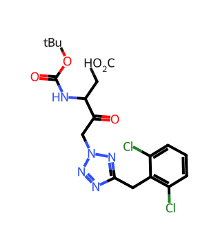 CC(C)(C)OC(=O)NC(CC(=O)O)C(=O)Cn1nnc(Cc2c(Cl)cccc2Cl)n1